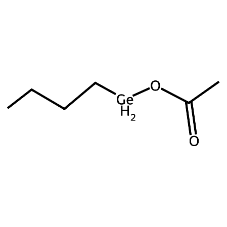 CCC[CH2][GeH2][O]C(C)=O